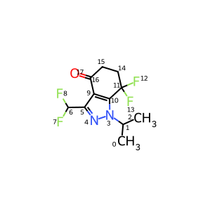 CC(C)n1nc(C(F)F)c2c1C(F)(F)CCC2=O